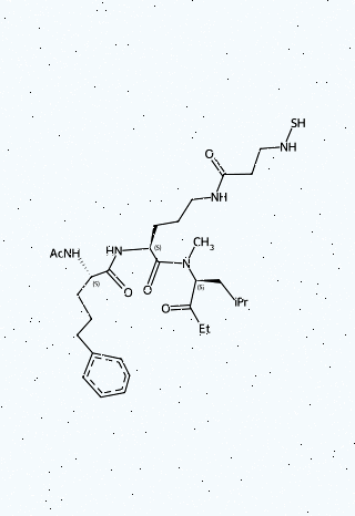 CCC(=O)[C@H](CC(C)C)N(C)C(=O)[C@H](CCCNC(=O)CCNS)NC(=O)[C@H](CCCc1ccccc1)NC(C)=O